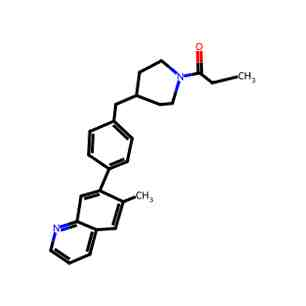 CCC(=O)N1CCC(Cc2ccc(-c3cc4ncccc4cc3C)cc2)CC1